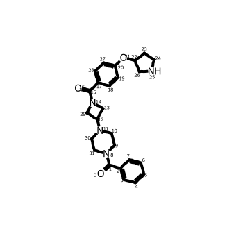 O=C(c1ccccc1)N1CCN(C2CN(C(=O)c3ccc(OC4CCNC4)cc3)C2)CC1